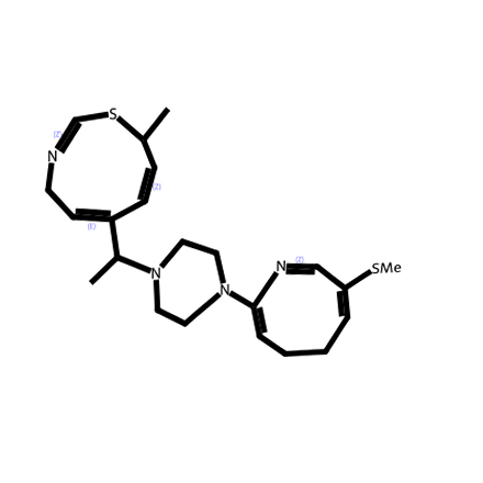 CSC1=CCCC=C(N2CCN(C(C)C3=C/C/N=C\SC(C)/C=C\3)CC2)/N=C\1